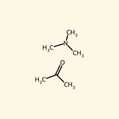 CC(C)=O.CN(C)C